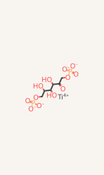 O=C(COP(=O)([O-])[O-])C(O)C(O)C(O)COP(=O)([O-])[O-].[Ti+4]